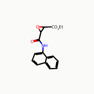 CCOC(=O)C1OC1C(=O)Nc1cccc2ccccc12